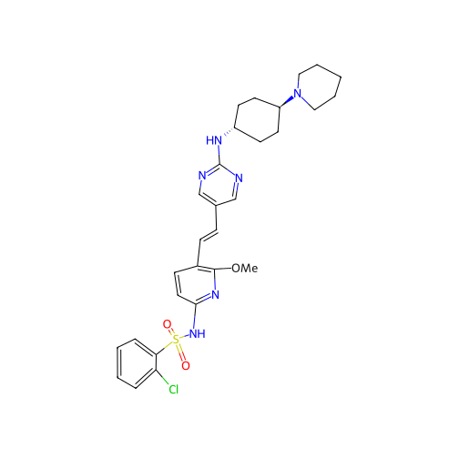 COc1nc(NS(=O)(=O)c2ccccc2Cl)ccc1/C=C/c1cnc(N[C@H]2CC[C@H](N3CCCCC3)CC2)nc1